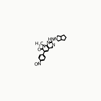 Cn1c(=O)c(-c2ccc(N=O)cc2)cc2cnc(NN3CC4CCCC4C3)nc21